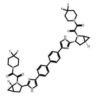 O=C(C(=O)N1C2C[C@H]2C[C@H]1c1nc(-c2ccc(-c3ccc(-c4c[nH]c(C5CC6C[C@@H]6N5C(=O)C(=O)N5CCC(F)(F)CC5)n4)cc3)cc2)c[nH]1)N1CCC(F)(F)CC1